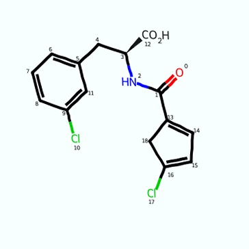 O=C(N[C@@H](Cc1cccc(Cl)c1)C(=O)O)C1=CC=C(Cl)C1